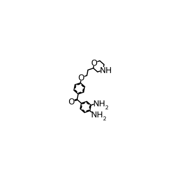 Nc1ccc(C(=O)c2ccc(OCCC3CNCCO3)cc2)cc1N